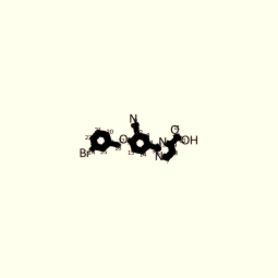 N#Cc1cc(-c2nccc(C(=O)O)n2)ccc1OCc1cccc(Br)c1